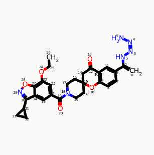 C=C(N/N=N\N)c1ccc2c(c1)C(=O)CC1(CCN(C(=O)c3cc(OCC)c4onc(C5CC5)c4c3)CC1)O2